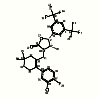 C[C@H]1[C@@H](c2cc(C(F)(F)F)cc(C(F)(F)F)c2)OC(=O)N1CC1=C(c2ccc(F)c(Cl)c2)CCC(C)(C)C1